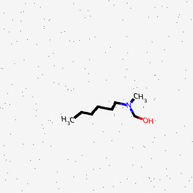 CCCCCCN(C)CO